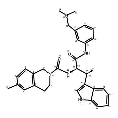 Cc1ccc2c(c1)CCN(C(=O)N[C@@H](C(=O)Nc1cccc(CN(C)C)c1)[C@@H](C)c1c[nH]c3ccccc13)C2